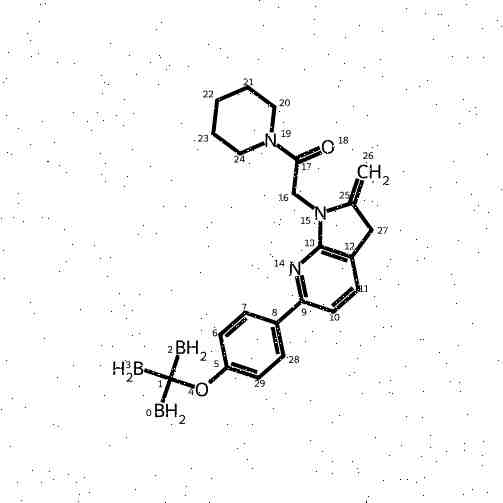 BC(B)(B)Oc1ccc(-c2ccc3c(n2)N(CC(=O)N2CCCCC2)C(=C)C3)cc1